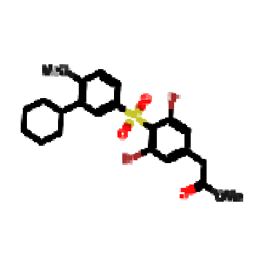 COC(=O)Cc1cc(Br)c(S(=O)(=O)c2ccc(OC)c(C3CCCCC3)c2)c(Br)c1